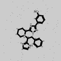 N#Cc1cccc(-c2noc(C3CCCCN3C(Cc3ccccc3)c3ncc[nH]3)n2)c1